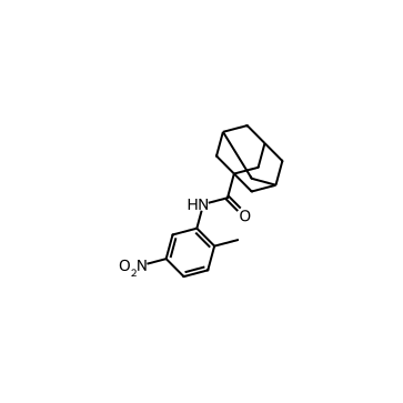 Cc1ccc([N+](=O)[O-])cc1NC(=O)C12CC3CC(CC(C3)C1)C2